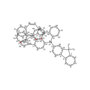 CC1(C)c2ccccc2-c2ccc(N(c3ccc4c(c3)C3(c5ccccc5C=Cc5ccccc53)c3ccccc3-4)c3ccccc3-c3ccc(-c4ccccc4)cc3)cc21